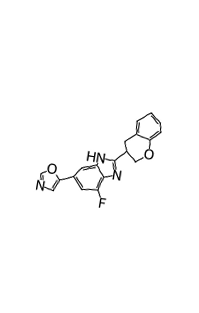 Fc1cc(-c2cnco2)cc2[nH]c(C3COc4ccccc4C3)nc12